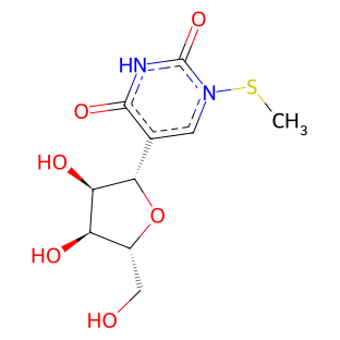 CSn1cc([C@@H]2O[C@H](CO)[C@@H](O)[C@H]2O)c(=O)[nH]c1=O